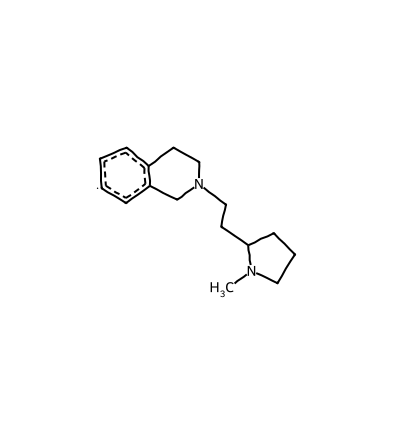 CN1CCCC1CCN1CCc2cc[c]cc2C1